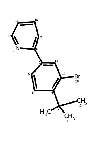 CC(C)(C)c1ccc(-c2ccccn2)cc1Br